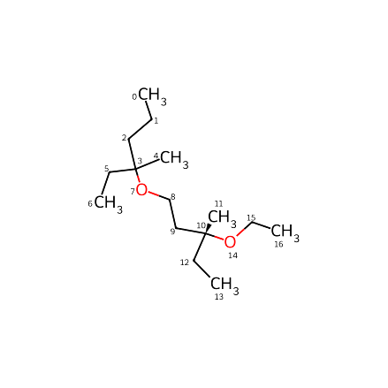 CCCC(C)(CC)OCC[C@@](C)(CC)OCC